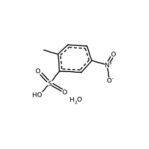 Cc1ccc([N+](=O)[O-])cc1S(=O)(=O)O.O